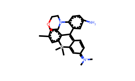 Cc1ccc2c(c1)[Si](C)(C)C1=CC(=[N+](C)C)C=CC1=C2c1cc(N)ccc1N1CCOCC1